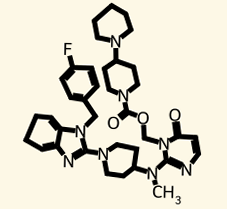 CN(c1nccc(=O)n1COC(=O)N1CCC(N2CCCCC2)CC1)C1CCN(c2nc3c(n2Cc2ccc(F)cc2)=CCCC=3)CC1